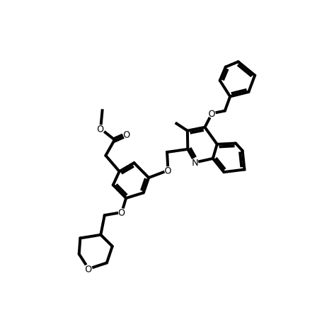 COC(=O)Cc1cc(OCc2nc3ccccc3c(OCc3ccccc3)c2C)cc(OCC2CCOCC2)c1